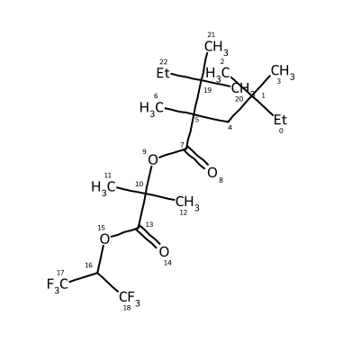 CCC(C)(C)CC(C)(C(=O)OC(C)(C)C(=O)OC(C(F)(F)F)C(F)(F)F)C(C)(C)CC